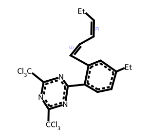 CC/C=C\C=C/c1cc(CC)ccc1-c1nc(C(Cl)(Cl)Cl)nc(C(Cl)(Cl)Cl)n1